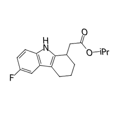 CC(C)OC(=O)CC1CCCc2c1[nH]c1ccc(F)cc21